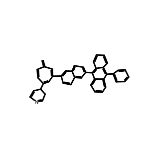 C=C1C=CC(C2C=CN=CC2)=CC(c2ccc3cc(-c4c5ccccc5c(-c5ccccc5)c5ccccc45)ccc3c2)=C1